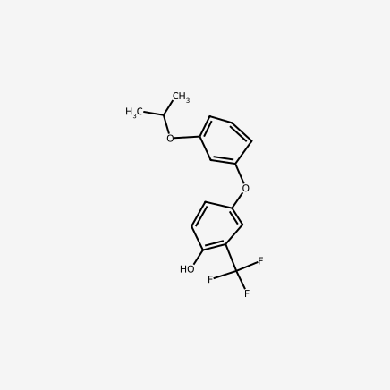 CC(C)Oc1cccc(Oc2ccc(O)c(C(F)(F)F)c2)c1